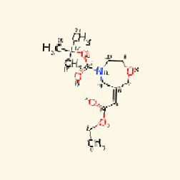 CCOC(=O)C=C1COCCN(C(=O)OC(C)(C)C)C1